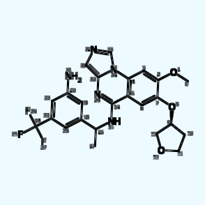 COc1cc2c(cc1O[C@H]1CCOC1)c(NC(C)c1cc(N)cc(C(F)(F)F)c1)nc1cncn12